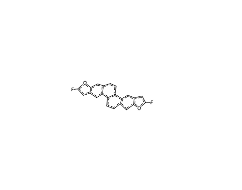 Fc1cc2cc3c(ccc4c5cc6cc(F)oc6cc5ccc34)cc2o1